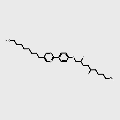 CCCCCCCCCc1cnc(-c2ccc(OCC(F)CCC(F)CCCCC)cc2)nc1